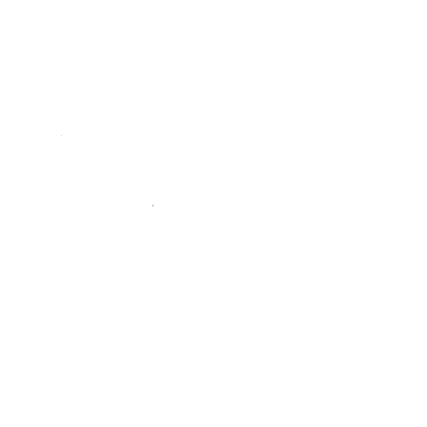 CCCCCCC(O)CCCCCCCCCCC[O]